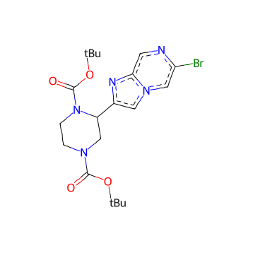 CC(C)(C)OC(=O)N1CCN(C(=O)OC(C)(C)C)C(c2cn3cc(Br)ncc3n2)C1